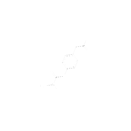 CN(C)C(=O)Sc1ccc(CC(=O)O)cc1